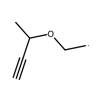 C#CC(C)OC[CH2]